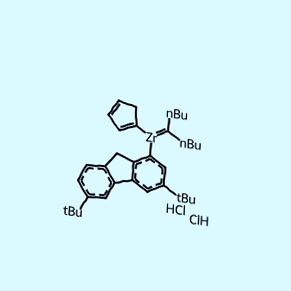 CCCC[C](CCCC)=[Zr]([C]1=CC=CC1)[c]1cc(C(C)(C)C)cc2c1Cc1ccc(C(C)(C)C)cc1-2.Cl.Cl